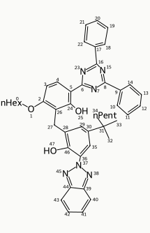 CCCCCCOc1ccc(-c2nc(-c3ccccc3)nc(-c3ccccc3)n2)c(O)c1Cc1cc(C(C)(C)CCCCC)cc(-n2nc3ccccc3n2)c1O